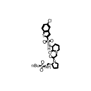 CCCCS(=O)(=O)NC[C@@H]1CCCN1C(=O)CN1CCC[C@H](NS(=O)(=O)c2cc3cc(Cl)ccc3s2)C1=O